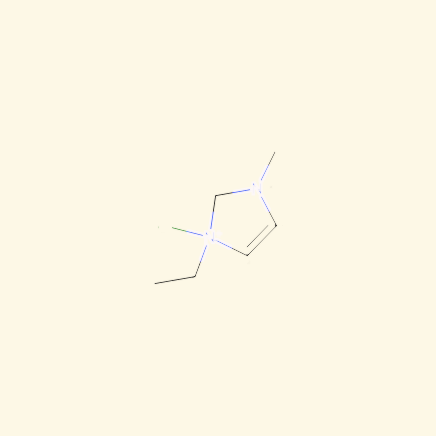 CC[N+]1(Cl)C=CN(C)C1